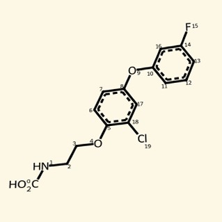 O=C(O)NCCOc1ccc(Oc2cccc(F)c2)cc1Cl